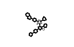 CN1C(c2ccc(-c3ccc4ccccc4c3)cc2)=NC(c2ccccc2)=NC1c1cc(-c2ccc(-c3ccccc3)cc2)cc2oc3ccccc3c12